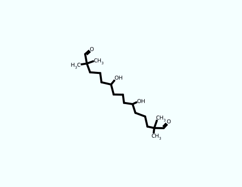 CC(C)(C=O)CCCC(O)CCCC(O)CCCC(C)(C)C=O